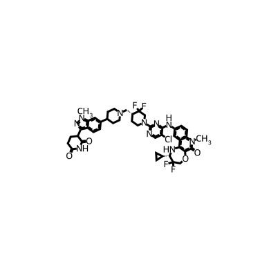 Cn1nc(C2CCC(=O)NC2=O)c2ccc(C3CCN(C[C@H]4CCN(c5ncc(Cl)c(Nc6ccc7c(c6)c6c(c(=O)n7C)OCC(F)(F)[C@H](C7CC7)N6)n5)CC4(F)F)CC3)cc21